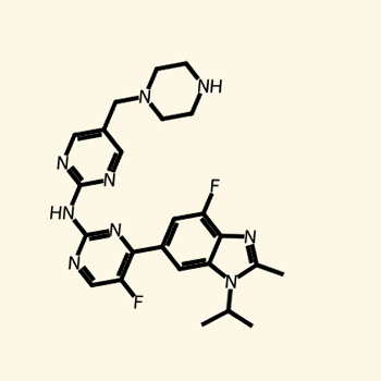 Cc1nc2c(F)cc(-c3nc(Nc4ncc(CN5CCNCC5)cn4)ncc3F)cc2n1C(C)C